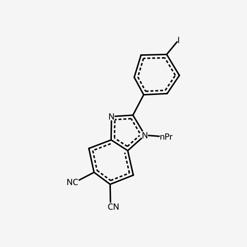 CCCn1c(-c2ccc(I)cc2)nc2cc(C#N)c(C#N)cc21